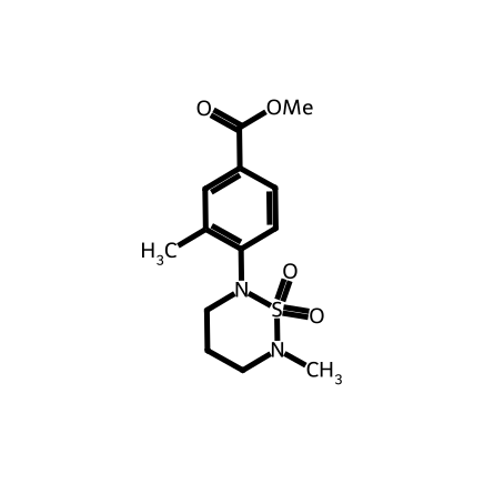 COC(=O)c1ccc(N2CCCN(C)S2(=O)=O)c(C)c1